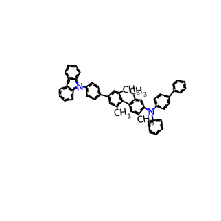 Cc1cc(N(c2ccccc2)c2ccc(-c3ccccc3)cc2)c(C)cc1-c1c(C)cc(-c2ccc(-n3c4ccccc4c4ccccc43)cc2)cc1C